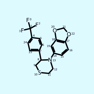 FC(F)(F)c1ccc(C2CS[CH]CN2c2ccc3c(c2)OCO3)cc1